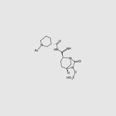 CC(=O)N1CCC[C@H](C(=O)NC(=N)[C@@H]2CC[C@@H]3CN2C(=O)N3OS(=O)(=O)O)C1